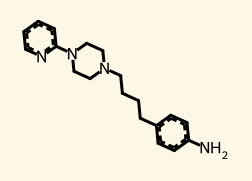 Nc1ccc(CCCCN2CCN(c3ccccn3)CC2)cc1